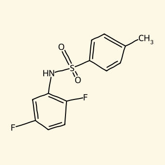 Cc1ccc(S(=O)(=O)Nc2cc(F)ccc2F)cc1